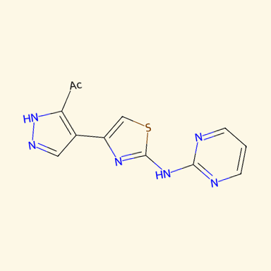 CC(=O)c1[nH]ncc1-c1csc(Nc2ncccn2)n1